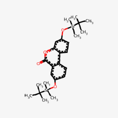 CC(C)(C)[Si](C)(C)Oc1ccc2c(c1)oc(=O)c1cc(O[Si](C)(C)C(C)(C)C)ccc12